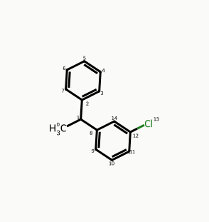 CC(c1ccccc1)c1cc[c]c(Cl)c1